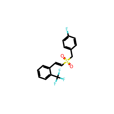 O=S(=O)(/C=C/c1ccccc1C(F)(F)F)Cc1ccc(F)cc1